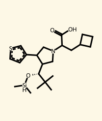 C[SiH](C)O[C@H](C1CN(C(CC2CCC2)C(=O)O)CC1c1ccsc1)C(C)(C)C